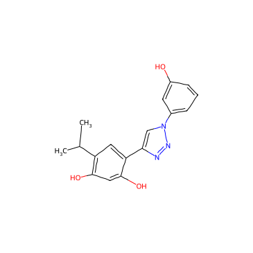 CC(C)c1cc(-c2cn(-c3cccc(O)c3)nn2)c(O)cc1O